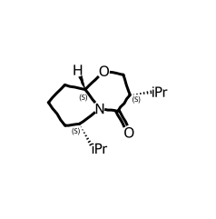 CC(C)[C@H]1CO[C@H]2CCC[C@@H](C(C)C)N2C1=O